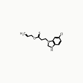 C=CCOC(=S)CCN1CNc2ccc(Cl)cc21